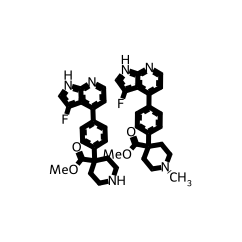 COC(=O)C1(c2ccc(-c3ccnc4[nH]cc(F)c34)cc2)CCN(C)CC1.COC(=O)C1(c2ccc(-c3ccnc4[nH]cc(F)c34)cc2)CCNCC1